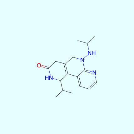 CC(C)NN1CC2=C(c3cccnc31)C(C(C)C)NC(=O)C2